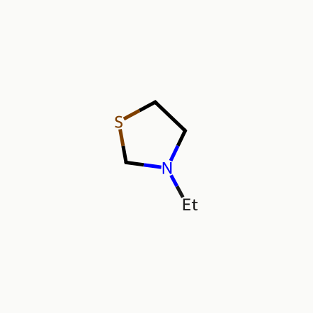 CCN1CCSC1